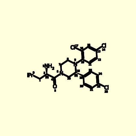 CC(C)C[C@@H](N)C(=O)N1CCN(c2ccc(Cl)cc2Cl)[C@H](c2ccc(Cl)cc2)C1